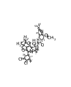 COc1cc(C(=O)NCC(O)(c2cc3c(c(-c4cc(F)c(Cl)c(Cl)c4)n2)OC[C@]3(C)C(N)=O)C(F)(F)F)cc2cn(C3CC3)nc12